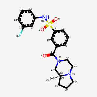 O=C(c1cccc(S(=O)(=O)Nc2cccc(F)c2)c1)N1CCN2CCC[C@H]2C1